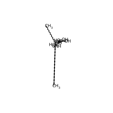 CC#CC#CC#CC#CC#CC#CC#CC#CC#CC#CC#CC#CC(=O)N[C@@H](CO[P@@](=O)(O)OC[C@@H](O)CO)[C@H](O)[C@H](O)CCCCCCCCCCCCCC